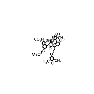 COCCOc1cc(N2C[C@@H](C)N3C(=C(CCCOc4cc(C)c(Cl)c(C)c4)C4C=CC(Cl)=C(c5c(C)nn(C)c5C)C43)C2=O)c2c(c1)cc(C(=O)O)n2C